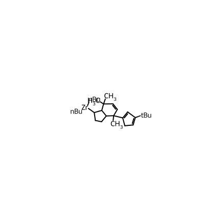 CCC[CH2][Zr]([CH2]CCC)[CH]1CCC2C1C(C)(C)C=CC2(C)C1=CC(C(C)(C)C)=CC1